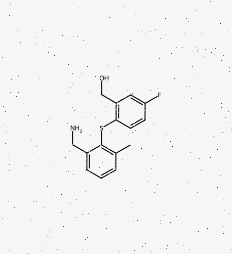 Cc1cccc(CN)c1Sc1ccc(F)cc1CO